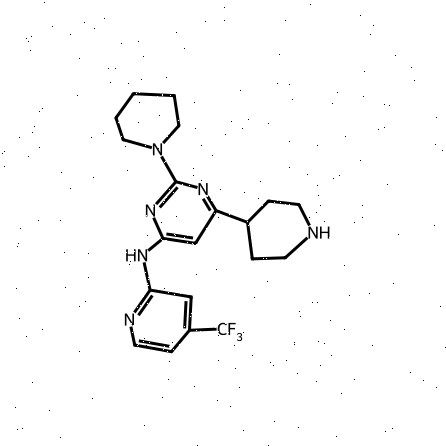 FC(F)(F)c1ccnc(Nc2cc(C3CCNCC3)nc(N3CCCCC3)n2)c1